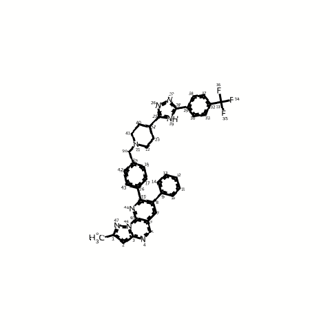 Cc1cc2ncc3cc(-c4ccccc4)c(-c4ccc(CN5CCC(c6nnc(-c7ccc(C(F)(F)F)cc7)[nH]6)CC5)cc4)nc3n2n1